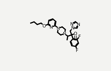 CCCCOc1cccc(N2CCN(C(C)C(O)(Cn3cncn3)c3ccc(F)cc3F)CC2)n1